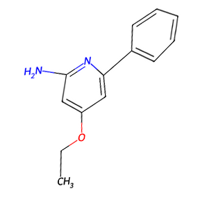 CCOc1cc(N)nc(-c2ccccc2)c1